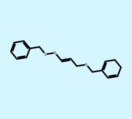 C1=CC(CSC/C=C/SSCc2ccccc2)=CCC1